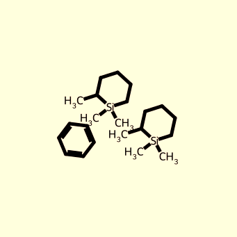 CC1CCCC[Si]1(C)C.CC1CCCC[Si]1(C)C.c1ccccc1